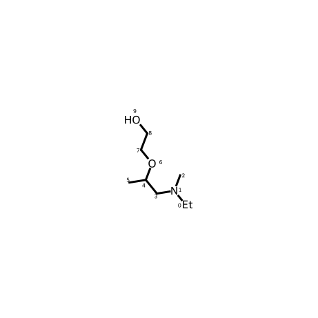 CCN(C)CC(C)OCCO